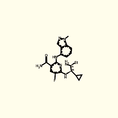 CC[C@H](N)[C@H](Nc1nc(Nc2cccc3c2cnn3C)c(C(N)=O)cc1F)C1CC1